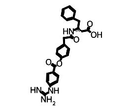 N=C(N)Nc1ccc(C(=O)Oc2ccc(CC(=O)N[C@H](CC(=O)O)Cc3ccccc3)cc2)cc1